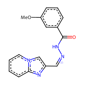 COc1cccc(C(=O)N/N=C\c2cn3ccccc3n2)c1